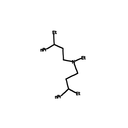 CCCC(CC)CCN(CC)CCC(CC)CCC